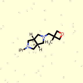 CC(C)N1C[C@H]2CN(CC3(C)COC3)C[C@H]2C1